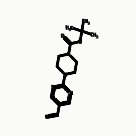 CC(C)(C)OC(=O)N1CCN(c2ncc(C=O)cn2)CC1